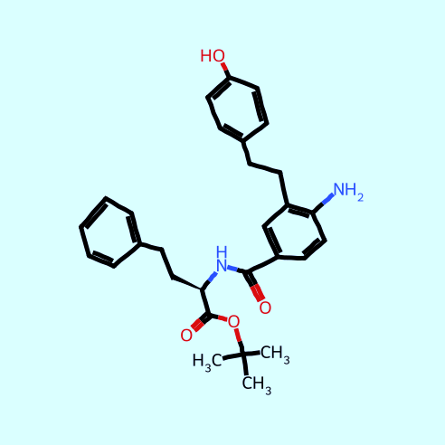 CC(C)(C)OC(=O)[C@@H](CCc1ccccc1)NC(=O)c1ccc(N)c(CCc2ccc(O)cc2)c1